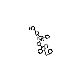 C1=CC(c2nc(-c3ccccc3)cc(-c3ccc(-c4cccnc4)cc3)n2)CC(c2c3ccccc3c(-c3cccc4ccccc34)c3ccccc23)=C1